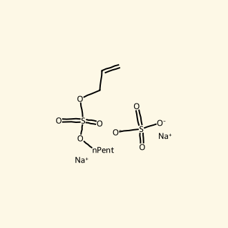 C=CCOS(=O)(=O)OCCCCC.O=S(=O)([O-])[O-].[Na+].[Na+]